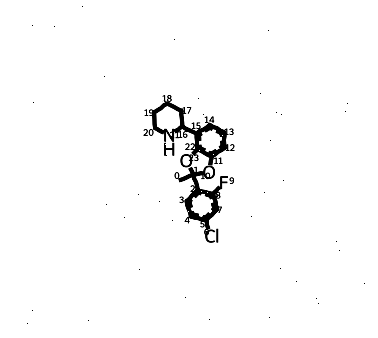 CC1(c2ccc(Cl)cc2F)Oc2cccc(C3CCCCN3)c2O1